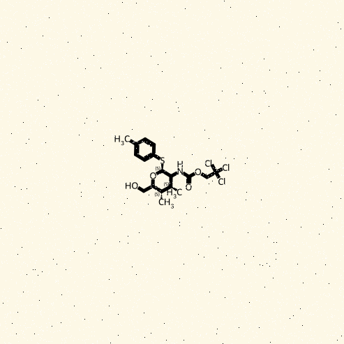 Cc1ccc(S[C@@H]2OC(CO)[C@@H](C)[C@H](C)C2NC(=O)OCC(Cl)(Cl)Cl)cc1